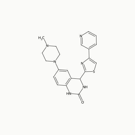 CN1CCN(c2ccc3c(c2)C(c2nc(-c4cccnc4)cs2)NC(=O)N3)CC1